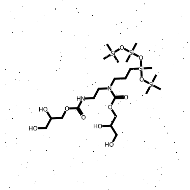 C[Si](C)(C)O[Si](C)(C)O[Si](C)(CCCN(CCNC(=O)OCC(O)CO)C(=O)OCC(O)CO)O[Si](C)(C)C